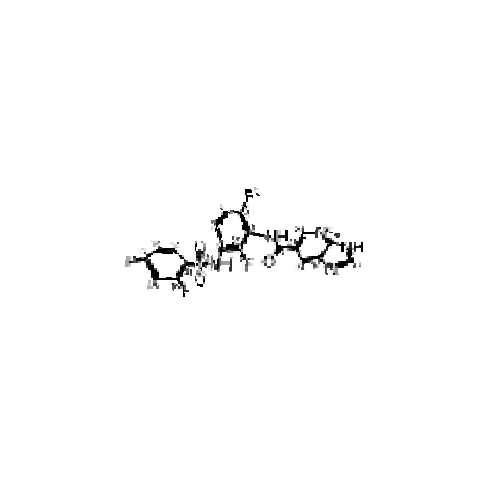 O=C(Nc1c(F)ccc(NS(=O)(=O)c2ccc(F)cc2F)c1F)c1cnc2[nH]cnc2c1